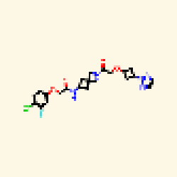 O=C(COc1ccc(Cl)c(F)c1)NC1CC2(C1)CN(C(=O)COC1CC(n3nccn3)C1)C2